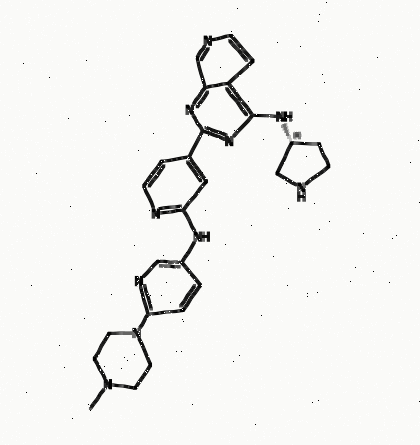 CN1CCN(c2ccc(Nc3cc(-c4nc(N[C@@H]5CCNC5)c5ccncc5n4)ccn3)cn2)CC1